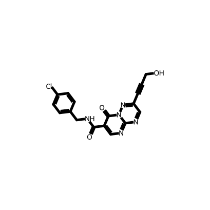 O=C(NCc1ccc(Cl)cc1)c1cnc2ncc(C#CCO)nn2c1=O